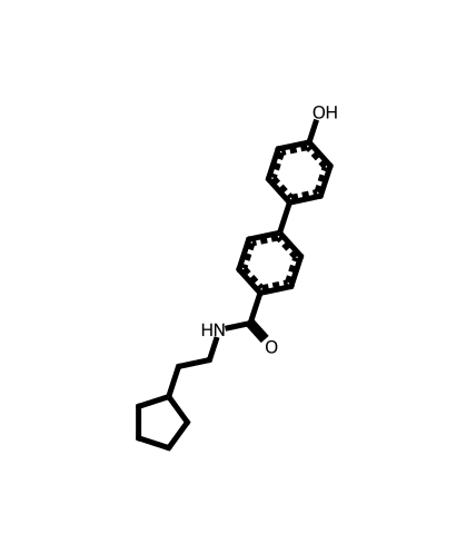 O=C(NCCC1CCCC1)c1ccc(-c2ccc(O)cc2)cc1